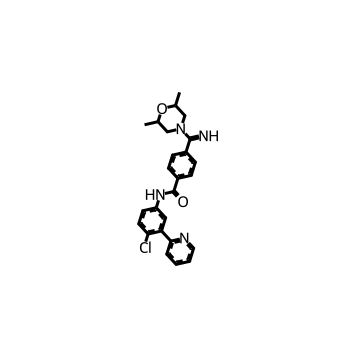 CC1CN(C(=N)c2ccc(C(=O)Nc3ccc(Cl)c(-c4ccccn4)c3)cc2)CC(C)O1